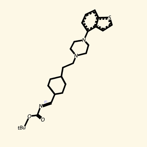 CC(C)(C)OC(=O)/N=C/C1CCC(CCN2CCN(c3cccc4sccc34)CC2)CC1